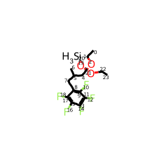 CCOC(CC(C)Cc1c(F)c(F)c(F)c(F)c1F)(O[SiH3])OCC